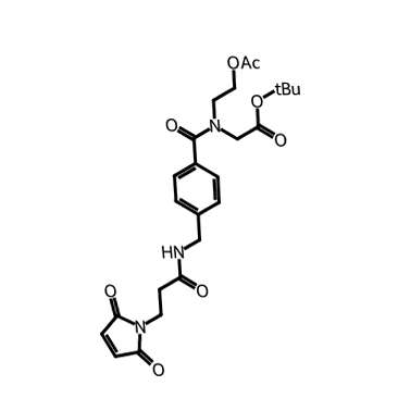 CC(=O)OCCN(CC(=O)OC(C)(C)C)C(=O)c1ccc(CNC(=O)CCN2C(=O)C=CC2=O)cc1